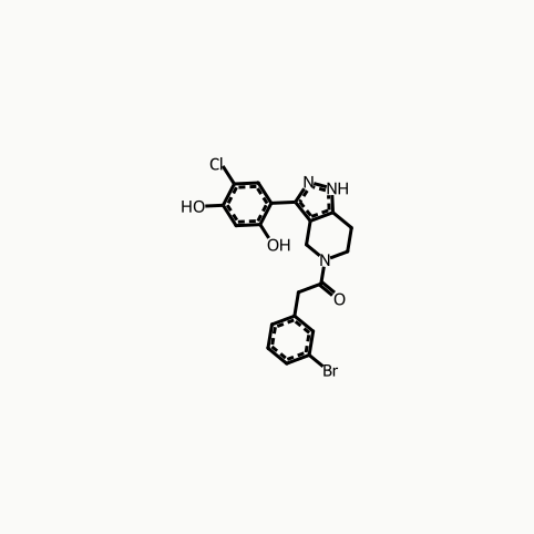 O=C(Cc1cccc(Br)c1)N1CCc2[nH]nc(-c3cc(Cl)c(O)cc3O)c2C1